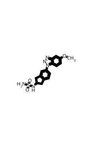 COc1ccc2c(c1)nnn2-c1ccc2c(c1)CC(NS(N)(=O)=O)C2